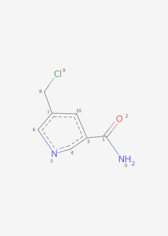 NC(=O)c1cncc(CCl)c1